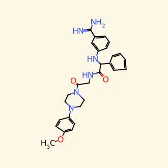 COc1ccc(N2CCN(C(=O)CNC(=O)C(Nc3cccc(C(=N)N)c3)c3ccccc3)CC2)cc1